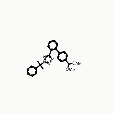 COC(OC)c1ccc(-c2ccccc2-c2nnn(C(C)(C)c3ccccc3)n2)cc1